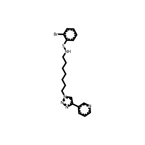 Brc1ccccc1SNCCCCCCCn1cc(-c2cccnc2)nn1